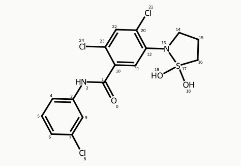 O=C(Nc1cccc(Cl)c1)c1cc(N2CCCS2(O)O)c(Cl)cc1Cl